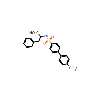 O=C(O)c1ccc(-c2ccc(S(=O)(=O)NC(Cc3ccccc3)C(=O)O)cc2)cc1